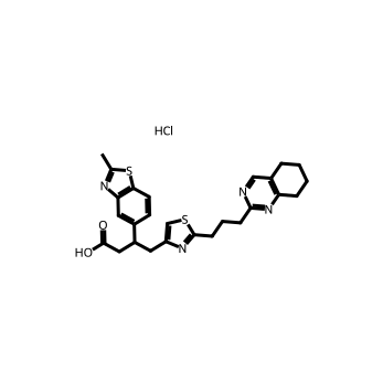 Cc1nc2cc(C(CC(=O)O)Cc3csc(CCCc4ncc5c(n4)CCCC5)n3)ccc2s1.Cl